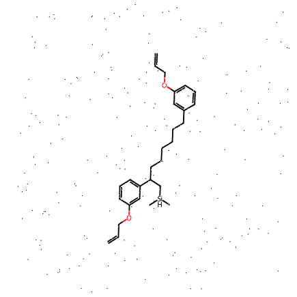 C=CCOc1cccc(CCCCCCC(C[SiH](C)C)c2cccc(OCC=C)c2)c1